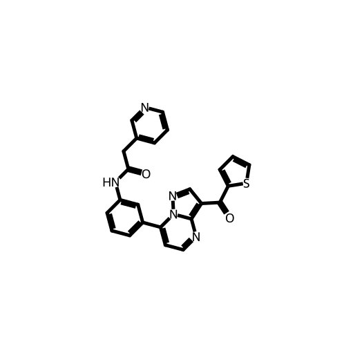 O=C(Cc1cccnc1)Nc1cccc(-c2ccnc3c(C(=O)c4cccs4)cnn23)c1